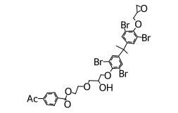 CC(=O)c1ccc(C(=O)OCCOCC(O)COc2c(Br)cc(C(C)(C)c3cc(Br)c(OCC4CO4)c(Br)c3)cc2Br)cc1